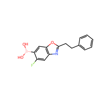 OB(O)c1cc2oc(CCc3ccccc3)nc2cc1F